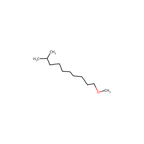 COC[CH]CCCCCCC(C)C